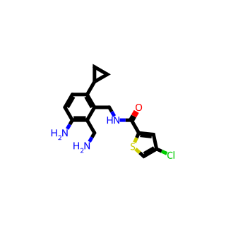 NCc1c(N)ccc(C2CC2)c1CNC(=O)c1cc(Cl)cs1